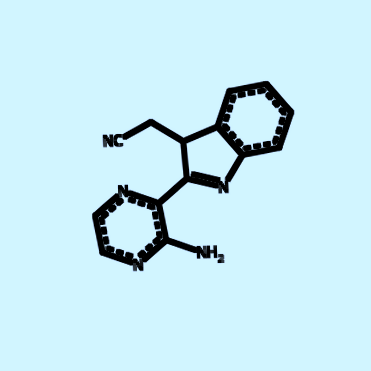 N#CCC1C(c2nccnc2N)=Nc2ccccc21